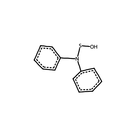 OSN(c1ccccc1)c1ccccc1